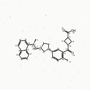 C[C@@H](N[C@H]1CCN(c2ccc(F)c(C(=O)N3CC(C(=O)O)C3)c2)C1)c1cccc2ccccc12